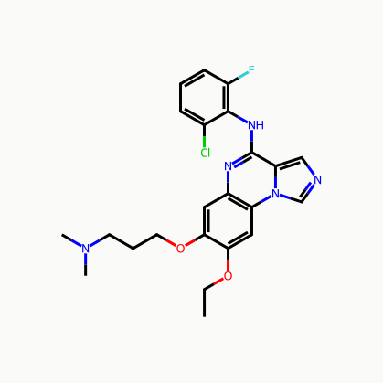 CCOc1cc2c(cc1OCCCN(C)C)nc(Nc1c(F)cccc1Cl)c1cncn12